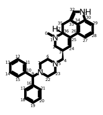 CN1C[C@H](CN2CCN(C(c3ccccc3)c3ccccc3)CC2)C=C2c3cccc4[nH]cc(c34)C[C@H]21